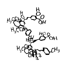 Cc1ccc(CCNc2cc(C(O)C#Cc3ccc(C(=O)O)c(O)c3)cc3c2C(C)(C)CCC3(C)C)cc1.Cc1ccc(CSc2cc(C(O)C=Cc3ccc(C(=O)O)c(O)c3)cc3c2C(C)(C)CCC3(C)C)cc1